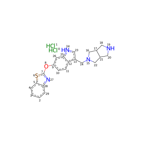 Cl.Cl.c1ccc2sc(Oc3ccc4c(CN5CC6CNCC6C5)c[nH]c4c3)nc2c1